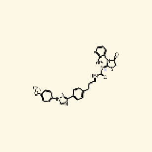 CCCc1ccccc1N1C(=O)CS/C1=N\C(=O)NCCCc1ccc(-c2ncn(-c3ccc(OC(F)(F)F)cc3)n2)cc1